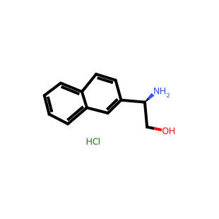 Cl.N[C@@H](CO)c1ccc2ccccc2c1